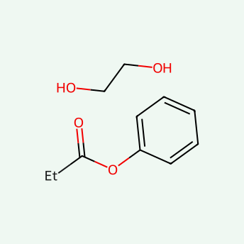 CCC(=O)Oc1ccccc1.OCCO